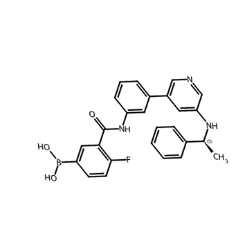 C[C@H](Nc1cncc(-c2cccc(NC(=O)c3cc(B(O)O)ccc3F)c2)c1)c1ccccc1